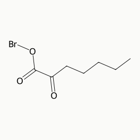 CCCCCC(=O)C(=O)OBr